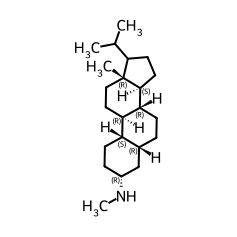 CN[C@@H]1CC[C@H]2[C@H](CC[C@@H]3[C@@H]2CC[C@]2(C)C(C(C)C)CC[C@@H]32)C1